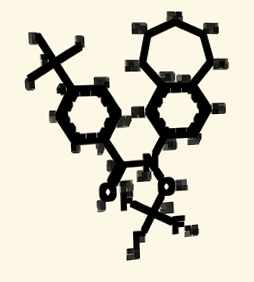 CC(C)(C)c1ccc(C(=O)N(OC(F)(F)F)c2ccc3c(c2)CCCCC3)cc1